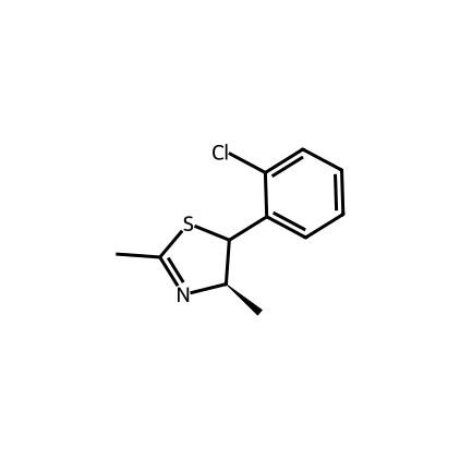 CC1=N[C@H](C)C(c2ccccc2Cl)S1